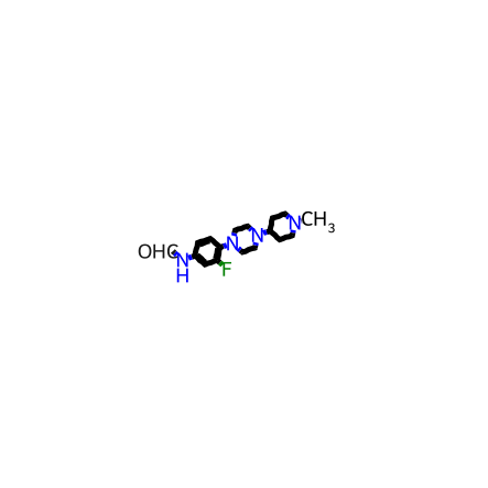 CN1CCC(N2CCN(c3ccc(NC=O)cc3F)CC2)CC1